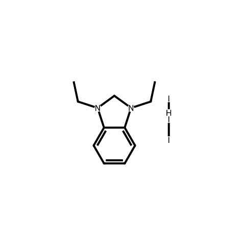 CCN1CN(CC)c2ccccc21.I[IH]I